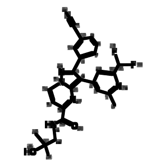 Cc1cc(-c2c(-c3cccc(C#N)c3)nn3ccc(C(=O)NCC(C)(C)O)nc23)cc(C(F)F)n1